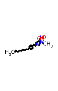 CCCCCCCCCCc1ccc(CCN2CCC(NCC)(C(=O)OC=O)CC2)cc1